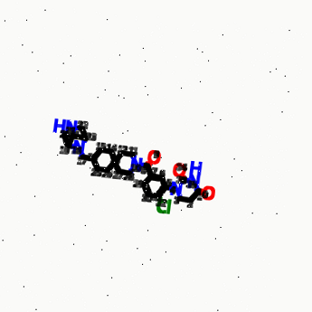 O=C1CCN(c2cc(C(=O)N3CCC4(CCC(CN5C6CNCC5C6)CC4)CC3)ccc2Cl)C(=O)N1